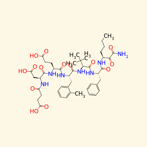 CCCC[C@H](NC(=O)[C@H](Cc1ccccc1)NC(=O)[C@@H](NC(=O)[C@H](Cc1ccccc1C)NC(=O)[C@H](CCC(=O)O)NC(=O)[C@H](CC(=O)O)NC(=O)CCC(=O)O)C(C)(C)C)C(=O)C(N)=O